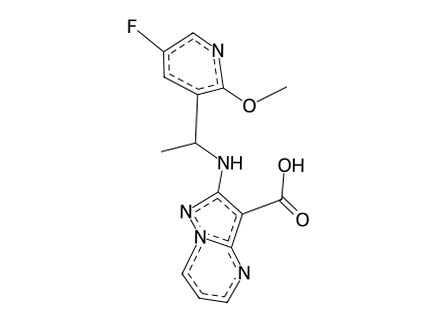 COc1ncc(F)cc1C(C)Nc1nn2cccnc2c1C(=O)O